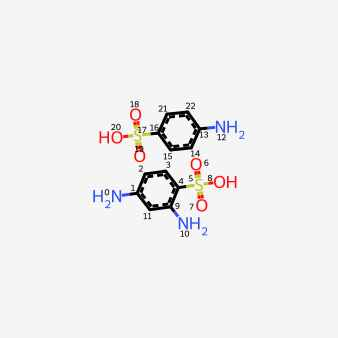 Nc1ccc(S(=O)(=O)O)c(N)c1.Nc1ccc(S(=O)(=O)O)cc1